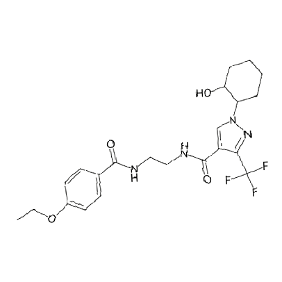 CCOc1ccc(C(=O)NCCNC(=O)c2cn(C3CCCCC3O)nc2C(F)(F)F)cc1